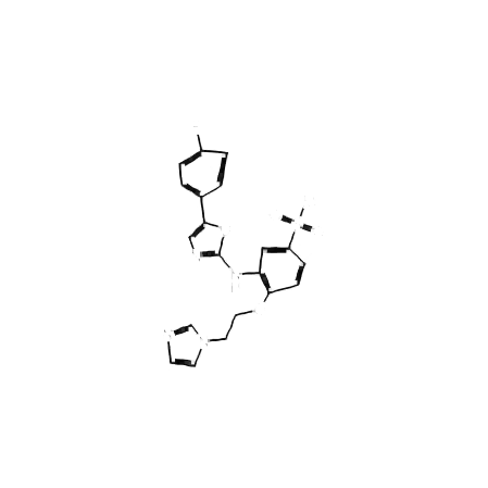 CCS(=O)(=O)c1ccc(OCCn2ccnc2)c(Nc2ncc(-c3ccc(F)cc3)o2)c1